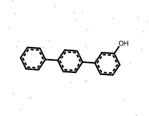 Oc1cccc(-c2ccc(-c3ccccc3)cc2)c1